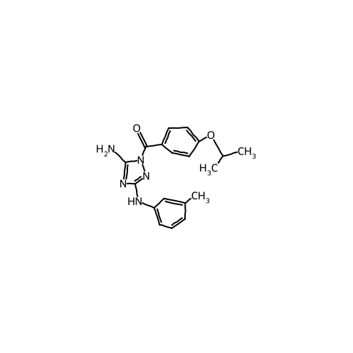 Cc1cccc(Nc2nc(N)n(C(=O)c3ccc(OC(C)C)cc3)n2)c1